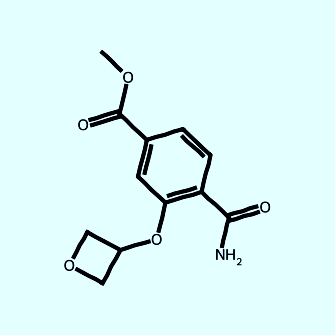 COC(=O)c1ccc(C(N)=O)c(OC2COC2)c1